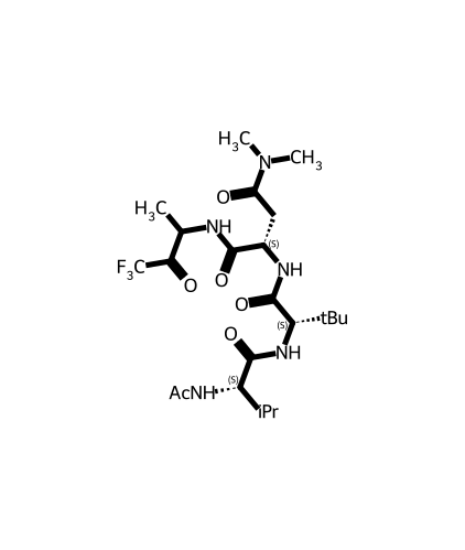 CC(=O)N[C@H](C(=O)N[C@H](C(=O)N[C@@H](CC(=O)N(C)C)C(=O)NC(C)C(=O)C(F)(F)F)C(C)(C)C)C(C)C